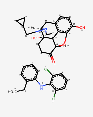 O=C(O)Cc1ccccc1Nc1c(Cl)cccc1Cl.O=C1CC[C@@]2(O)[C@H]3Cc4ccc(O)c5c4[C@@]2(CCN3CC2CC2)[C@H]1O5